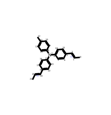 C/C=C/c1ccc(N(c2ccc(C)cc2)c2ccc(/C=C/C)cc2)cc1